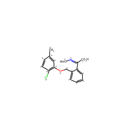 CO/N=C(/C(=O)O)c1ccccc1COc1cc(C)ccc1Cl